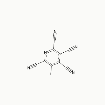 Cc1c(C#N)nc(C#N)c(C#N)c1C#N